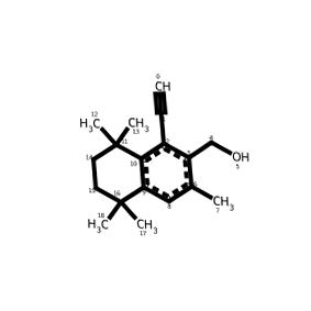 C#Cc1c(CO)c(C)cc2c1C(C)(C)CCC2(C)C